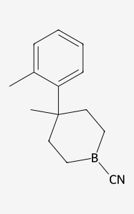 Cc1ccccc1C1(C)CCB(C#N)CC1